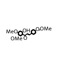 COCOc1ccc(/C=C/C(=O)c2c(O)cc(OC)cc2OC)cc1